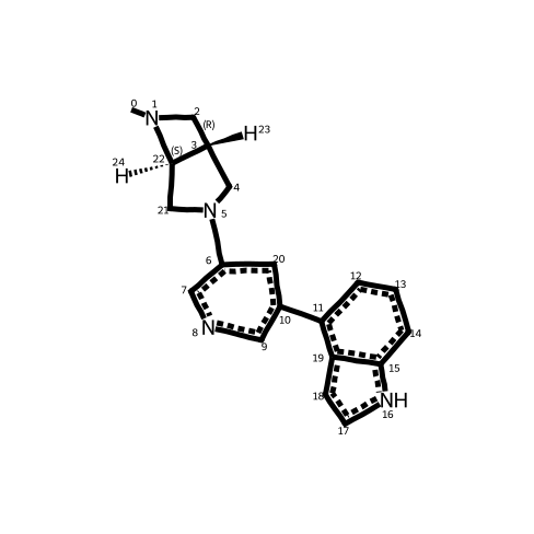 CN1C[C@@H]2CN(c3cncc(-c4cccc5[nH]ccc45)c3)C[C@H]21